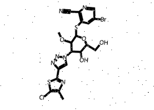 COC1C(Sc2cc(Br)cnc2C#N)OC(CO)C(O)C1n1cc(-c2nc(C)c(Cl)s2)nn1